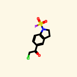 O=C(CCl)c1ccc2c(c1)CCN2S(=O)(=O)I